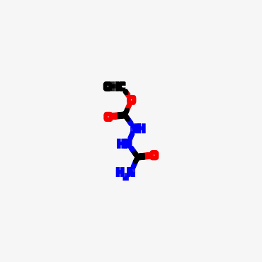 NC(=O)NNC(=O)OC=O